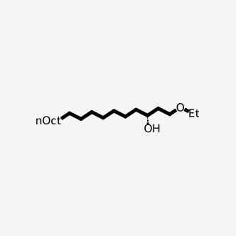 CCCCCCCCCCCCCCC[C@@H](O)CCOCC